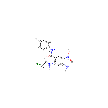 CNc1cc(N2CC[C@@H](F)C2)c(C(=O)Nc2ccc(C)cc2)cc1[N+](=O)[O-]